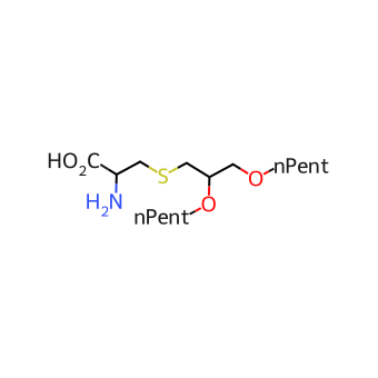 CCCCCOCC(CSCC(N)C(=O)O)OCCCCC